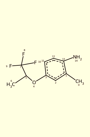 Cc1cc(OC(C)C(F)(F)F)ccc1N